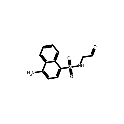 Nc1ccc(S(=O)(=O)NCC=O)c2ccccc12